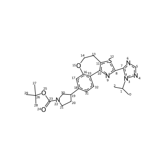 CC(C)n1ncnc1-c1nc2c(s1)CCOc1cc(C3CCN(C(=O)OC(C)(C)C)C3)ccc1-2